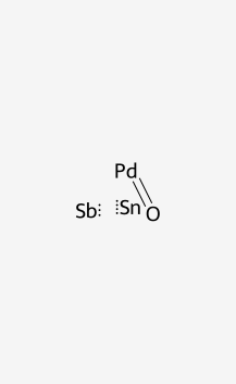 [O]=[Pd].[Sb].[Sn]